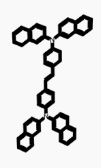 C1=Cc2ccc(N(C3=CC=C(/C=C/c4ccc(N(c5ccc6ccccc6c5)c5ccc6ccccc6c5)cc4)CC3)c3ccc4ccccc4c3)cc2CC1